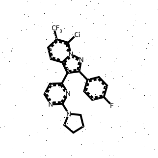 Fc1ccc(-c2nn3c(Cl)c(C(F)(F)F)ccc3c2-c2ccnc(N3CCCC3)n2)cc1